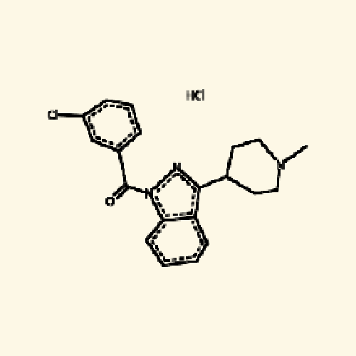 CN1CCC(c2nn(C(=O)c3cccc(Cl)c3)c3ccccc23)CC1.Cl